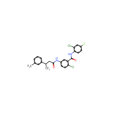 O=C(CC(c1cccc(C(F)(F)F)c1)C(F)(F)F)Nc1ccc(Cl)c(C(=O)Nc2ccc(F)cc2Cl)c1